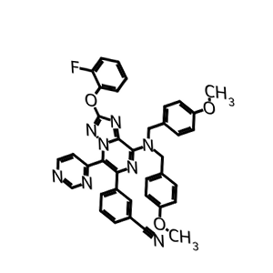 COc1ccc(CN(Cc2ccc(OC)cc2)c2nc(-c3cccc(C#N)c3)c(-c3ccncn3)n3nc(Oc4ccccc4F)nc23)cc1